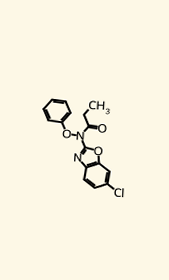 CCC(=O)N(Oc1ccccc1)c1nc2ccc(Cl)cc2o1